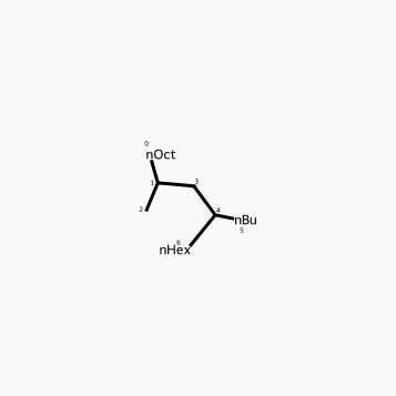 CCCCCCCCC(C)CC(CCCC)CCCCCC